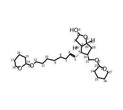 OC1C[C@@H]2[C@@H](C=CCCCCCCOC3CCCCO3)[C@H](COC3CCCCO3)C[C@H]2O1